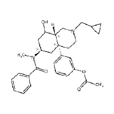 CC(=O)Oc1cccc([C@@]23CCN(CC4CC4)C[C@H]2C(O)C[C@H](N(C)C(=O)c2ccccc2)C3)c1